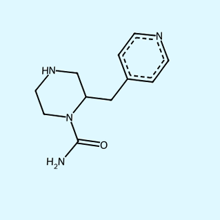 NC(=O)N1CCNCC1Cc1ccncc1